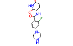 O=C1CCC(NC(=O)c2ccc(N3CCNCC3)cc2F)C(=O)N1